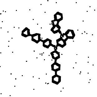 c1ccc(-c2ccc(-c3ccc(N(c4ccc(-c5ccc(-c6ccccc6)cc5)cc4)c4ccc5c6ccccc6n(-c6ccc7sc8ccccc8c7c6)c5c4)cc3)cc2)cc1